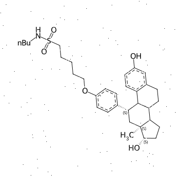 CCCCNS(=O)(=O)CCCCCOc1ccc([C@H]2C[C@@]3(C)C(CC[C@@H]3O)C3CCc4cc(O)ccc4C32)cc1